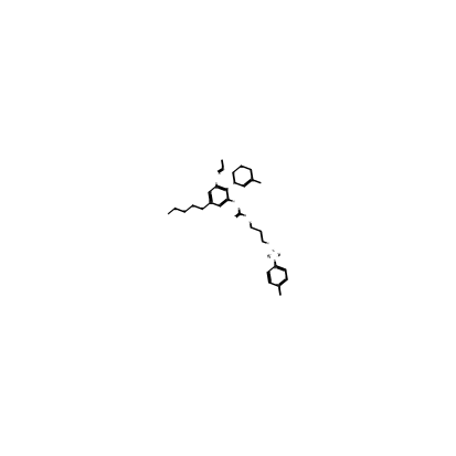 C=C(C)[C@@H]1CCC(C)=C[C@H]1c1c(O)cc(CCCCC)cc1OC(=S)OCCCOS(=O)(=O)c1ccc(C)cc1